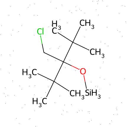 CC(C)(C)C(CCl)(O[SiH3])C(C)(C)C